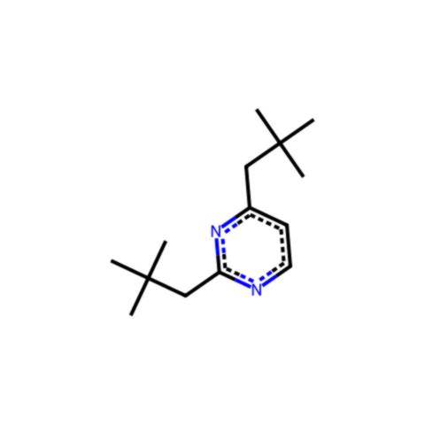 CC(C)(C)Cc1ccnc(CC(C)(C)C)n1